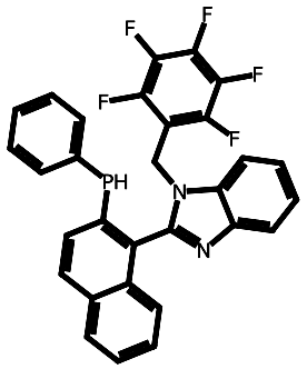 Fc1c(F)c(F)c(Cn2c(-c3c(Pc4ccccc4)ccc4ccccc34)nc3ccccc32)c(F)c1F